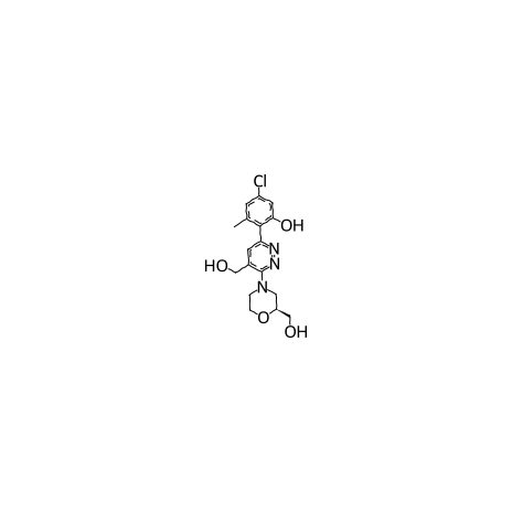 Cc1cc(Cl)cc(O)c1-c1cc(CO)c(N2CCO[C@H](CO)C2)nn1